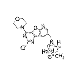 C[SH]1(=O)C[C@@H]2C[C@H]1CN2Cc1cnc2oc3c(N4CCOCC4)nc(Cl)nc3c2c1